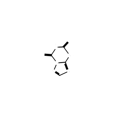 O=c1[nH]c(=S)[nH]c2ncnn12